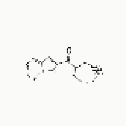 O=C(c1cc2ccccc2s1)C1CCCNC1